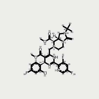 C=C1N2CCN(CC3=C(C(=O)OC)[C@H](c4ccc(F)cc4Cl)N=C(c4ncc(F)cc4F)N3)[C@@H](C(=O)OC)[C@@H]2CN1C(C)(C)C